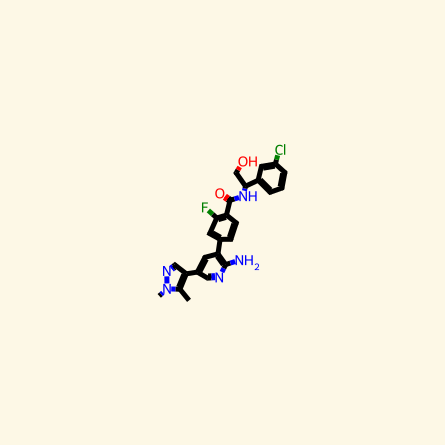 Cc1c(-c2cnc(N)c(-c3ccc(C(=O)NC(CO)c4cccc(Cl)c4)c(F)c3)c2)cnn1C